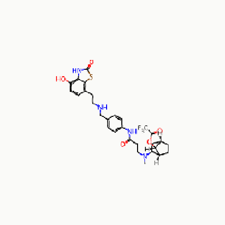 CN(CCC(=O)Nc1ccc(CNCCc2ccc(O)c3[nH]c(=O)sc23)cc1)[C@H]1C[C@@H]2CC[C@H]1[C@@H]2OC(=O)C(F)(F)F